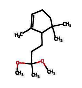 COC(C)(CCC1C(C)=CCCC1(C)C)OC